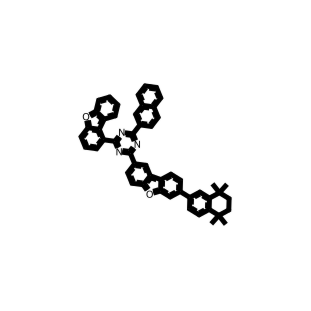 CC1(C)CCC(C)(C)c2cc(-c3ccc4c(c3)oc3ccc(-c5nc(-c6ccc7ccccc7c6)nc(-c6cccc7oc8ccccc8c67)n5)cc34)ccc21